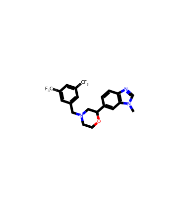 Cn1cnc2ccc(C3CN(Cc4cc(C(F)(F)F)cc(C(F)(F)F)c4)CCO3)cc21